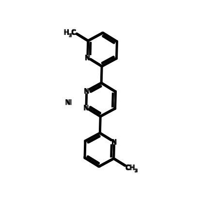 Cc1cccc(-c2ccc(-c3cccc(C)n3)nn2)n1.[Ni]